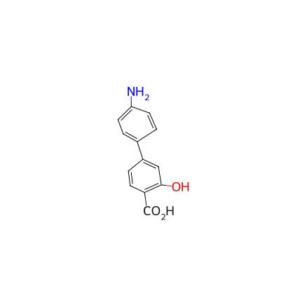 Nc1ccc(-c2ccc(C(=O)O)c(O)c2)cc1